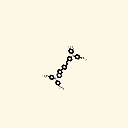 Cc1ccc(N(C2=CCc3cc(-c4ccc(/C=C/c5ccc(N(c6ccc(C)cc6)c6ccc(C)cc6)cc5)cc4)ccc3C2)c2ccc(C)cc2)cc1